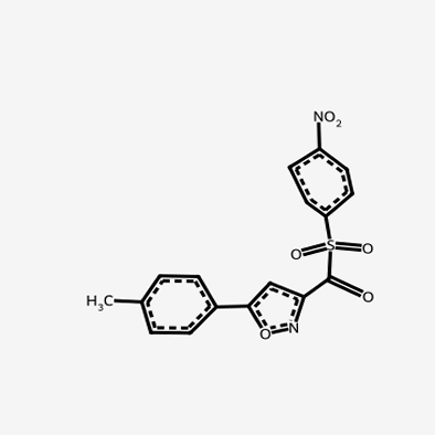 Cc1ccc(-c2cc(C(=O)S(=O)(=O)c3ccc([N+](=O)[O-])cc3)no2)cc1